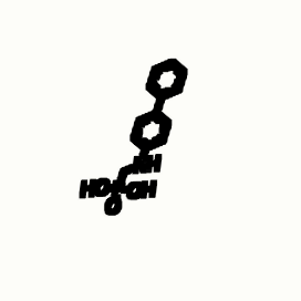 O=P(O)(O)CNc1ccc(-c2ccccc2)cc1